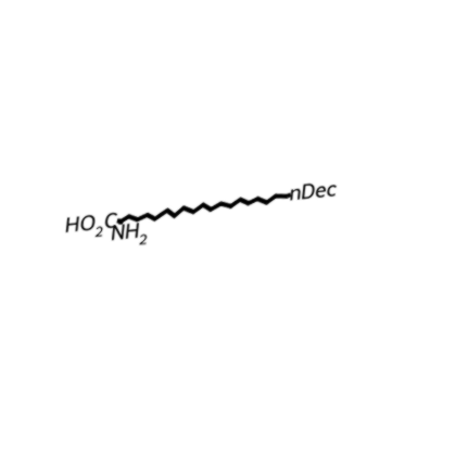 CCCCCCCCCCCCCCCCCCCCCCCCCCCCC(N)C(=O)O